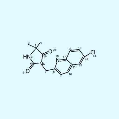 CC1(C)NC(=O)N(Cc2ccc3cc(Cl)ccc3n2)C1=O